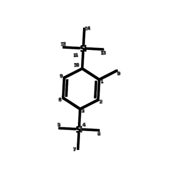 CC1=CC([Si](C)(C)C)C=CC1[Si](C)(C)C